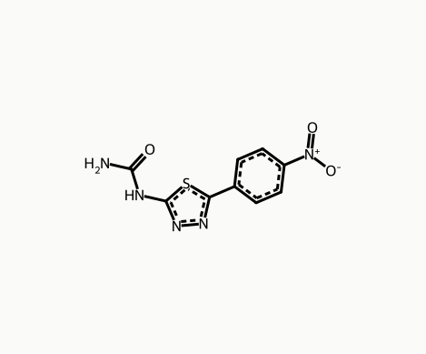 NC(=O)Nc1nnc(-c2ccc([N+](=O)[O-])cc2)s1